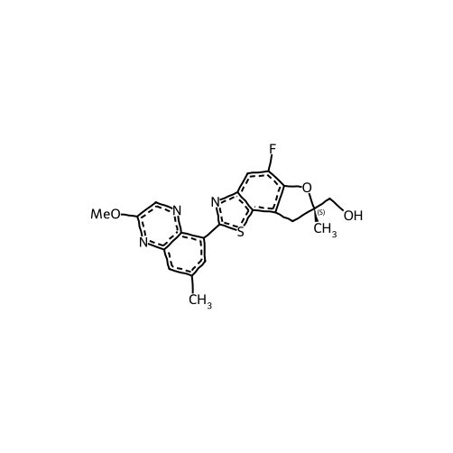 COc1cnc2c(-c3nc4cc(F)c5c(c4s3)C[C@@](C)(CO)O5)cc(C)cc2n1